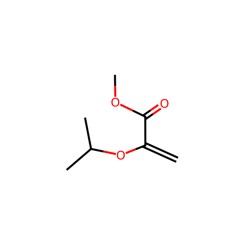 C=C(OC(C)C)C(=O)OC